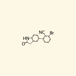 N#Cc1c(Br)cccc1-c1ccc2c(c1)CC(=O)N2